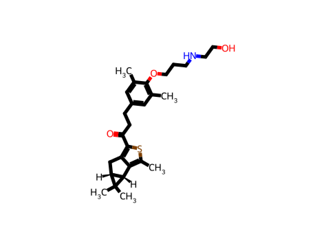 Cc1cc(CCC(=O)c2sc(C)c3c2C[C@@H]2[C@H]3C2(C)C)cc(C)c1OCCCNCCO